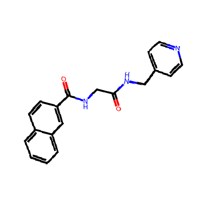 O=C(CNC(=O)c1ccc2ccccc2c1)NCc1ccncc1